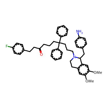 COc1cc2c(cc1OC)C(Cc1ccc(N)cc1)N(CCCC(CCCC(=O)CCc1ccc(F)cc1)(c1ccccc1)c1ccccc1)CC2